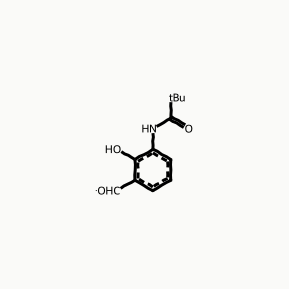 CC(C)(C)C(=O)Nc1cccc([C]=O)c1O